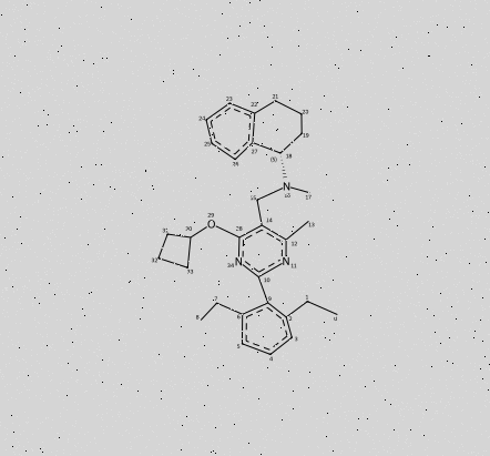 CCc1cccc(CC)c1-c1nc(C)c(CN(C)[C@H]2CCCc3ccccc32)c(OC2CCC2)n1